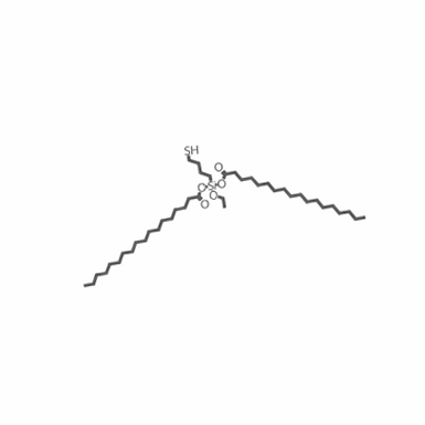 CCCCCCCCCCCCCCCCCC(=O)O[Si](CCCCS)(OCC)OC(=O)CCCCCCCCCCCCCCCCC